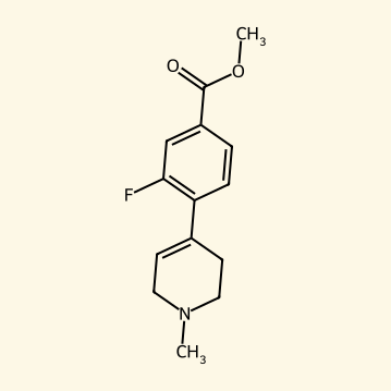 COC(=O)c1ccc(C2=CCN(C)CC2)c(F)c1